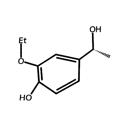 CCOc1cc([C@@H](C)O)ccc1O